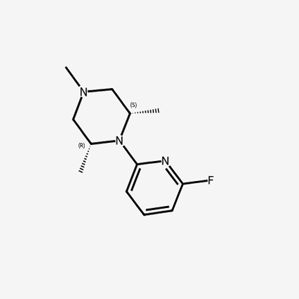 C[C@@H]1CN(C)C[C@H](C)N1c1cccc(F)n1